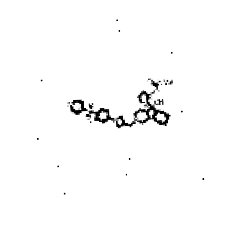 CNC(=O)O[C@@H]1CCC[C@H]1[C@@](C#N)(c1ccccc1)C1CCN(CC2CN(c3ccc(S(=O)(=O)c4ccncc4)cc3)C2)CC1